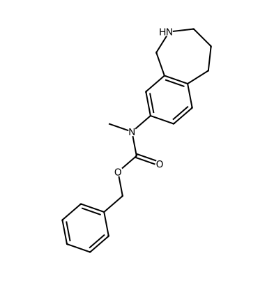 CN(C(=O)OCc1ccccc1)c1ccc2c(c1)CNCCC2